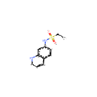 CCS(=O)(=O)Nc1ccc2c(c1)NCC=C2